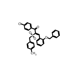 Cc1ccc(CS(=O)(=O)C(=Cc2ccccc2OCc2ccccc2)C(=O)c2ccc(Cl)cc2)cc1